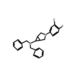 Fc1ccc(N2CC3C(C2)C3N(Cc2ccccc2)Cc2ccccc2)cc1F